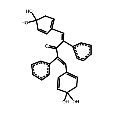 O=C(C(=CC1=CCC(O)(O)C=C1)c1ccccc1)C(=CC1=CCC(O)(O)C=C1)c1ccccc1